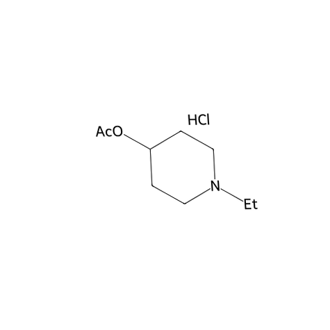 CCN1CCC(OC(C)=O)CC1.Cl